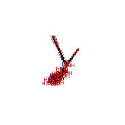 CCCCCCCCCCCCC/C=C/[C@@H](O)[C@H](CO[C@@H]1OC(CO)[C@@H](O[C@@H]2OC(CO)[C@H](O)[C@H](O[C@]3(C(=O)O)CC(O)[C@@H](NC(C)=O)C([C@H](O)[C@@H](CO)O[C@]4(C(=O)O)CC(O)[C@@H](NC(C)=O)C([C@H](O)[C@H](O)CO)O4)O3)C2O)[C@H](O)C1O)NC(=O)CCCCCCCCCCCCCCCCCCCCCCC